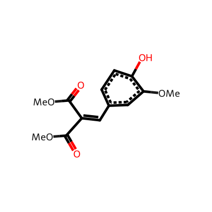 COC(=O)C(=Cc1ccc(O)c(OC)c1)C(=O)OC